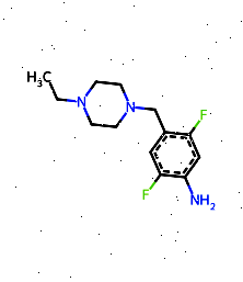 CCN1CCN(Cc2cc(F)c(N)cc2F)CC1